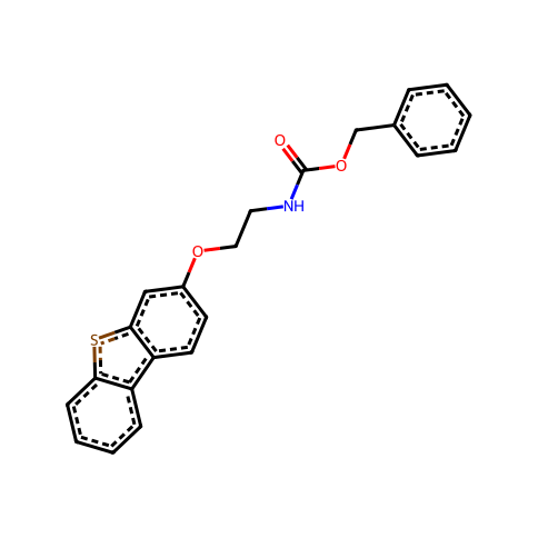 O=C(NCCOc1ccc2c(c1)sc1ccccc12)OCc1ccccc1